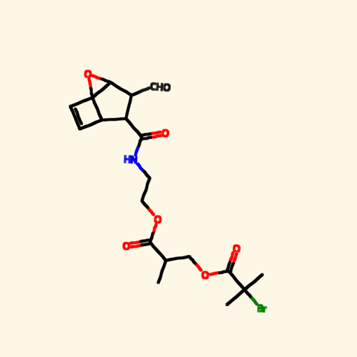 CC(COC(=O)C(C)(C)Br)C(=O)OCCNC(=O)C1C(C=O)C2OC23C=CC13